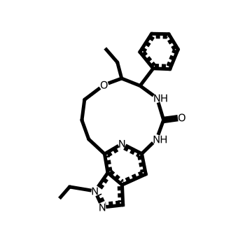 CCC1OCCCc2nc(cc3cnn(CC)c23)NC(=O)NC1c1ccccc1